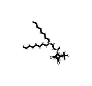 CCCCCCCCN(CCCCCCCC)CCN(C)c1c(C(C)(C)C)c(=O)c1=O